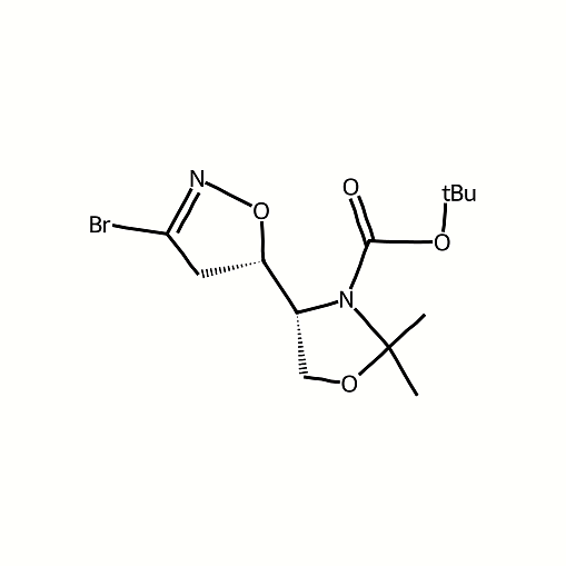 CC(C)(C)OC(=O)N1[C@@H]([C@@H]2CC(Br)=NO2)COC1(C)C